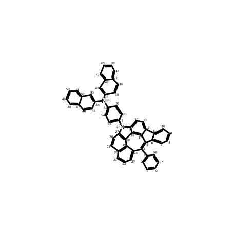 c1ccc(-c2c3c4ccccc4c4ccc5c(c4-3)c3c4c(cccc24)ccc3n5-c2ccc(N(c3ccc4ccccc4c3)c3ccc4ccccc4c3)cc2)cc1